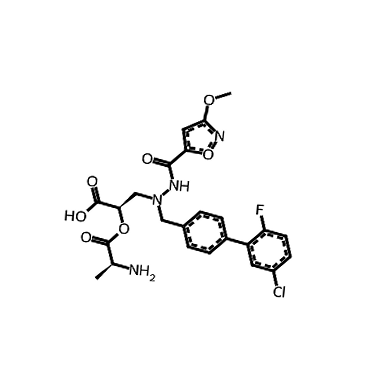 COc1cc(C(=O)NN(Cc2ccc(-c3cc(Cl)ccc3F)cc2)C[C@@H](OC(=O)[C@H](C)N)C(=O)O)on1